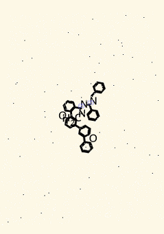 C=N/C(=N\C(=N/Cc1ccccc1)c1ccccc1)c1cccc2oc3ccc(-c4ccc5oc6ccccc6c5c4)cc3c12